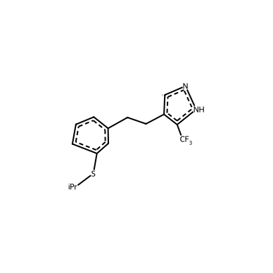 CC(C)Sc1cccc(CCc2[c]n[nH]c2C(F)(F)F)c1